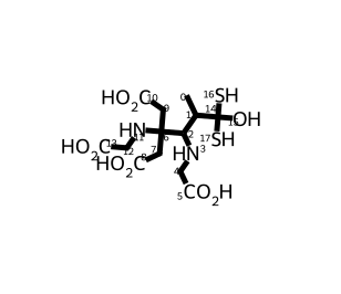 CC(C(NCC(=O)O)C(CC(=O)O)(CC(=O)O)NCC(=O)O)C(O)(S)S